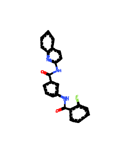 O=C(Nc1ccc2ccccc2n1)c1cccc(NC(=O)c2ccccc2F)c1